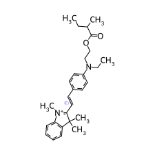 CCC(C)C(=O)OCCN(CC)c1ccc(/C=C/C2=[N+](C)c3ccccc3C2(C)C)cc1